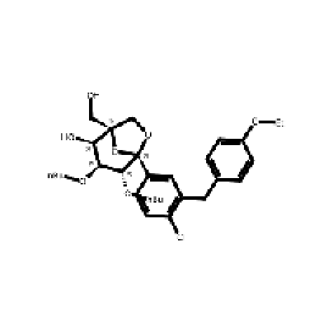 CCCCO[C@H]1[C@@H](O)[C@]2(CO)CO[C@@](c3ccc(Cl)c(Cc4ccc(OCC)cc4)c3)(O2)[C@@H]1OCCCC